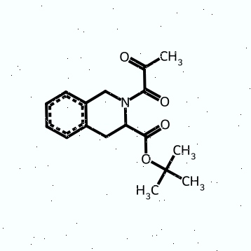 CC(=O)C(=O)N1Cc2ccccc2CC1C(=O)OC(C)(C)C